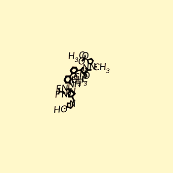 COC(=O)[C@H]1CC[C@H](N(C)Cc2ncc(-c3cccc(-c4cccc(Nc5nc(C(F)F)nc6cc(CN7CC[C@@H](O)C7)cnc56)c4C)c3Cl)nc2OC)C1